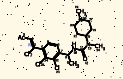 CC(=O)/C=C(\Cl)c1ccc(C(C)NC(=O)N(C)C2CCN(C)CC2)c(Cl)c1Cl